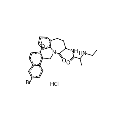 CCNC(C)C(=O)NC1CCc2ccccc2N(Cc2c(OC)ccc3cc(Br)ccc23)C1=O.Cl